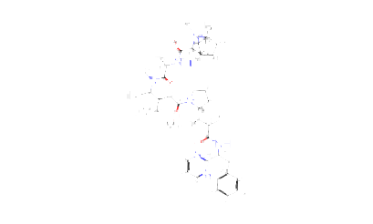 CCC(C)C(C(CC(=O)N1CCC[C@H]1C(OC)C(C)C(=O)NC(Cc1ccccc1)c1ncccn1)OC)N(C)C(=O)C(NC(=O)[C@@H]1[C@H]2CC[C@H](C2)N1C)C(C)C